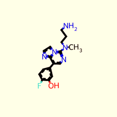 CN(CCCN)c1ncc(-c2ccc(F)c(O)c2)c2nccn12